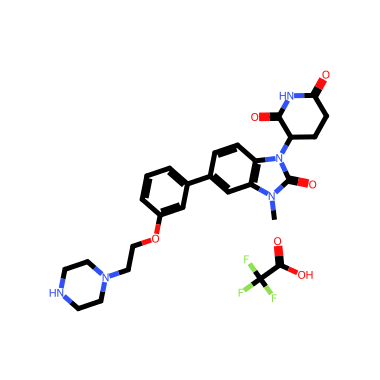 Cn1c(=O)n(C2CCC(=O)NC2=O)c2ccc(-c3cccc(OCCN4CCNCC4)c3)cc21.O=C(O)C(F)(F)F